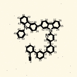 C#Cc1ccccc1-c1cccc(-c2cccc(-c3ccc(-n4c5ccccc5c5ccc(-c6ccc7c(c6)c6ccccc6n7-c6ccccc6)cc54)nc3)c2)c1